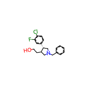 OCCC1CN(Cc2ccccc2)C[C@H]1c1ccc(Cl)c(F)c1